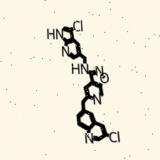 Clc1cnc2ccc(Cc3cc4c(NCc5cnc6[nH]cc(Cl)c6c5)noc4cn3)cc2c1